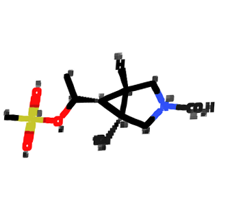 CC(OS(C)(=O)=O)[C@@H]1[C@@H]2CN(C(=O)O)C[C@@]12C(C)(C)C